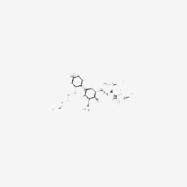 C=CCCCCc1cc(C)ccc1-c1cc(C2CC2)c(F)c([C@H](CC(=O)OCC)NC(=O)[C@H](O)CC=C)c1